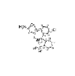 CN1C(=CC(N)=O)CN=C(c2ccccc2C(F)(F)F)c2cc(Cl)ccc21